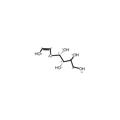 O/C=C\O[C@H](O)[C@@H](O)C(O)CO